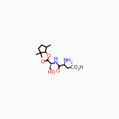 CC1CCC(C)(C)C1OC(=O)[C@H](CO)NC(=O)[C@@H](N)CC(=O)O